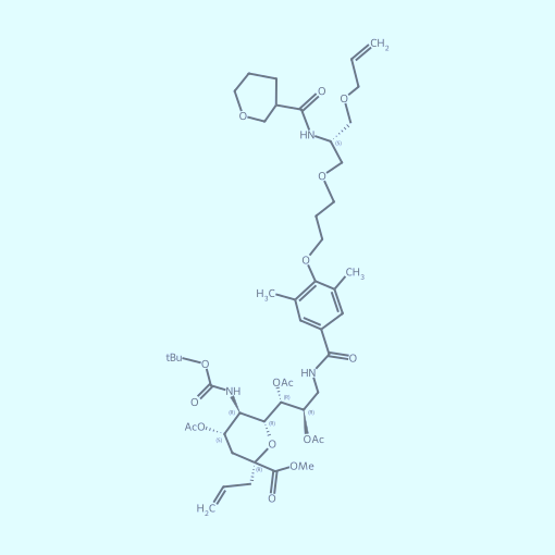 C=CCOC[C@H](COCCCOc1c(C)cc(C(=O)NC[C@@H](OC(C)=O)[C@@H](OC(C)=O)[C@@H]2O[C@@](CC=C)(C(=O)OC)C[C@H](OC(C)=O)[C@H]2NC(=O)OC(C)(C)C)cc1C)NC(=O)C1CCCOC1